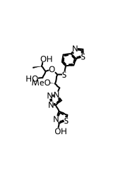 CO[C@@H](Cn1cc(-c2csc(O)n2)nn1)C(OC(CO)[C@@H](C)O)Sc1ccc2ncsc2c1